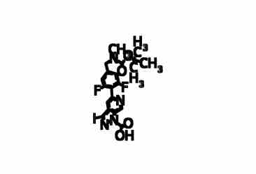 CN(Cc1cc(F)c(-c2cc3c(I)nn(C(=O)O)c3cn2)c(F)c1)C(=O)OC(C)(C)C